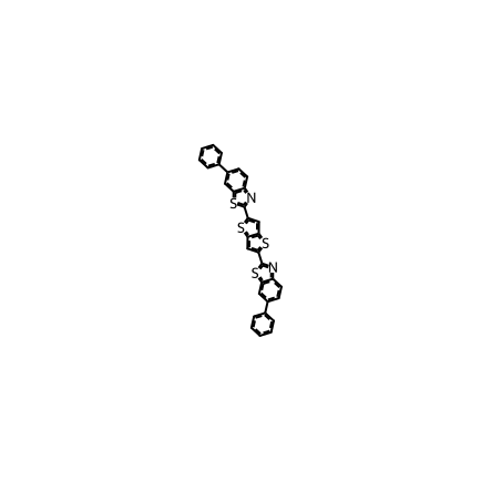 c1ccc(-c2ccc3nc(-c4cc5sc(-c6nc7ccc(-c8ccccc8)cc7s6)cc5s4)sc3c2)cc1